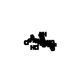 CC1(C)CCC(CN2CCN(c3ccc(C(=O)NS(=O)(=O)c4ccc(NCC5(F)CCOCC5)c([N+](=O)[O-])c4)c(-n4ncc5nc6[nH]ccc6cc54)c3)CC2)=C(c2ccc(Cl)cc2)C1.Cl